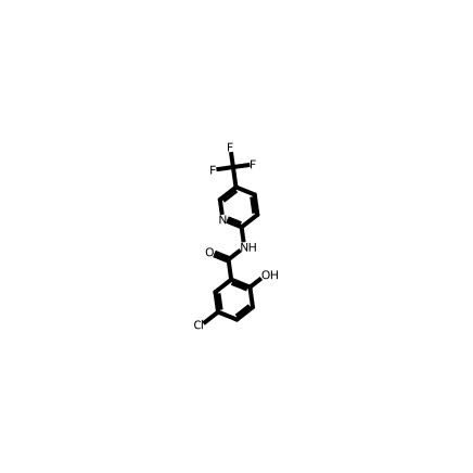 O=C(Nc1ccc(C(F)(F)F)cn1)c1cc(Cl)ccc1O